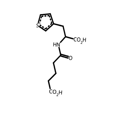 O=C(O)CCCC(=O)NC(Cc1ccsc1)C(=O)O